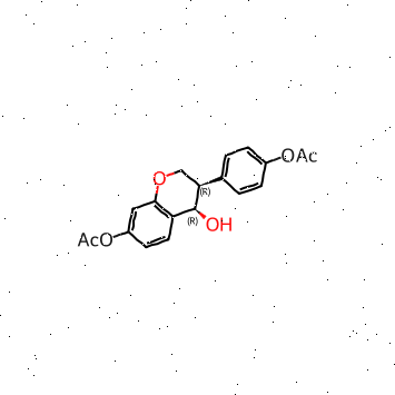 CC(=O)Oc1ccc([C@@H]2COc3cc(OC(C)=O)ccc3[C@@H]2O)cc1